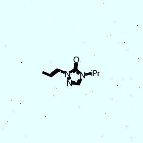 C/C=C/n1ncn(C(C)C)c1=O